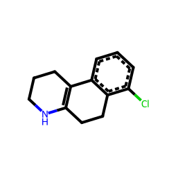 Clc1cccc2c1CCC1=C2CCCN1